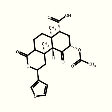 CC(=O)O[C@H]1C[C@@H](C(=O)O)[C@]2(C)CCC3C(=O)O[C@H](c4ccoc4)C[C@]3(C)[C@H]2C1=O